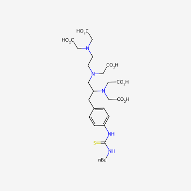 CCCCNC(=S)Nc1ccc(CC(CN(CCN(CC(=O)O)CC(=O)O)CC(=O)O)N(CC(=O)O)CC(=O)O)cc1